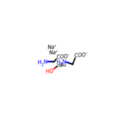 CCCCO.NCC(=O)[O-].NCC(=O)[O-].[Na+].[Na+]